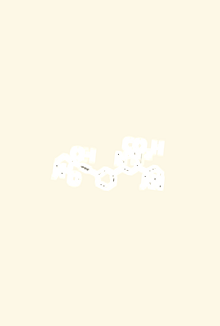 CN1CC[C@@](O)(C#Cc2cccc(-c3cc(-c4ccnn4C)nc(C(=O)O)n3)c2)C1=O